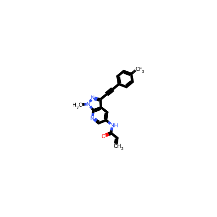 C=CC(=O)Nc1cnc2c(c1)c(C#Cc1ccc(C(F)(F)F)cc1)nn2C